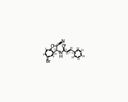 N#CC1Oc2ccc(Br)cc2C1NC(=O)/C=C/c1ccccc1